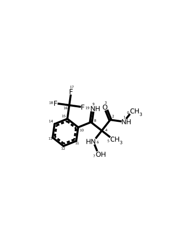 CNC(=O)C(C)(NO)C(=N)c1ccccc1C(F)(F)F